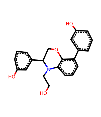 OCCN1c2cccc(-c3cccc(O)c3)c2OCC1c1cccc(O)c1